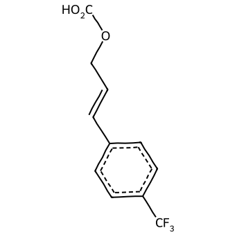 O=C(O)OCC=Cc1ccc(C(F)(F)F)cc1